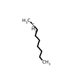 CCCCCCC[SH2]C